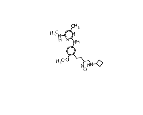 CNc1cc(C)nc(Nc2ccc(OC)c(CCC(CNC3CCC3)N=O)c2)n1